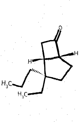 CCC[C@@]1(CC)CC[C@H]2C(=O)C[C@H]21